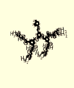 Cc1ccc(OCc2cc(OCc3cc(C(=O)CNC(=O)CN(CP)CP)cc(C(=O)NNC(=O)CN(CP)CP)c3)cc(OCc3cc(C(=O)NNC(=O)CN(CP)CP)cc(C(=O)NNC(=O)CN(CP)CP)c3)c2)cc1